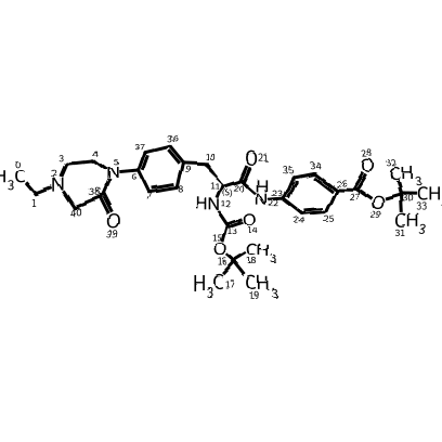 CCN1CCN(c2ccc(C[C@H](NC(=O)OC(C)(C)C)C(=O)Nc3ccc(C(=O)OC(C)(C)C)cc3)cc2)C(=O)C1